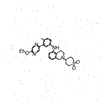 CCOc1cnc(-c2cc(Nc3cccc4c3CCN(C3CCS(=O)(=O)CC3)C4)ccc2C)cn1